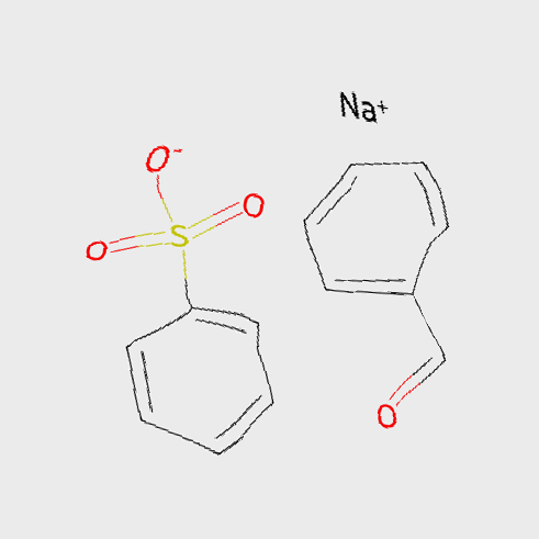 O=Cc1ccccc1.O=S(=O)([O-])c1ccccc1.[Na+]